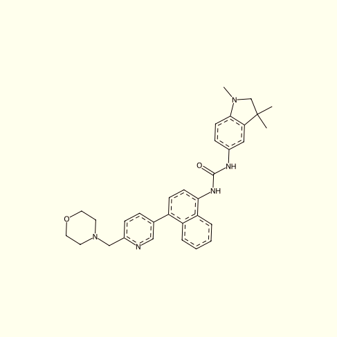 CN1CC(C)(C)c2cc(NC(=O)Nc3ccc(-c4ccc(CN5CCOCC5)nc4)c4ccccc34)ccc21